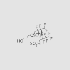 O=S(=O)(O)CC(F)(F)C(F)(F)C(F)F.O=S(=O)(O)CC(F)(F)C(F)(F)C(F)F.OCCCO